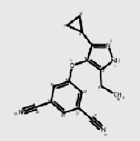 CCc1[nH]nc(C2CC2)c1Oc1cc(C#N)cc(C#N)c1